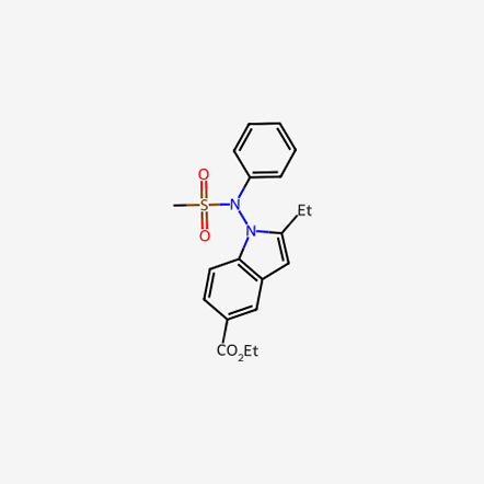 CCOC(=O)c1ccc2c(c1)cc(CC)n2N(c1ccccc1)S(C)(=O)=O